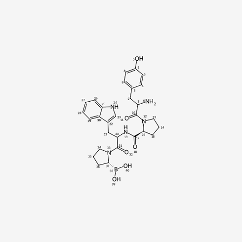 NC(Cc1ccc(O)cc1)C(=O)N1CCC[C@H]1C(=O)NC(Cc1c[nH]c2ccccc12)C(=O)N1CCC[C@H]1B(O)O